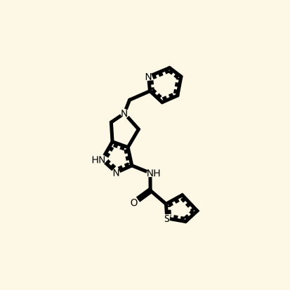 O=C(Nc1n[nH]c2c1CN(Cc1ccccn1)C2)c1cccs1